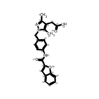 Cc1nn(Cc2ccc(NC(=O)c3cc4ccccc4o3)cc2)c(C)c1CC(=O)O